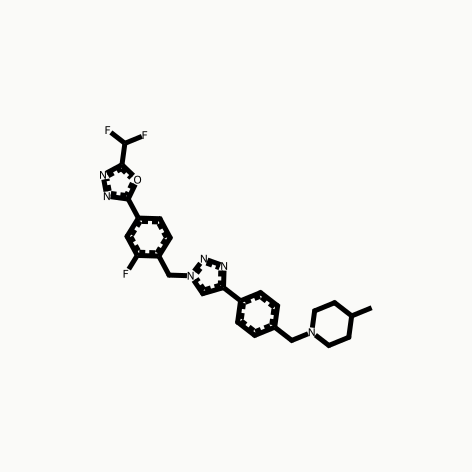 CC1CCN(Cc2ccc(-c3cn(Cc4ccc(-c5nnc(C(F)F)o5)cc4F)nn3)cc2)CC1